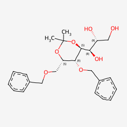 CC1(C)O[C@@H]([C@H](O)[C@H](O)CO)[C@H](OCc2ccccc2)[C@H](COCc2ccccc2)O1